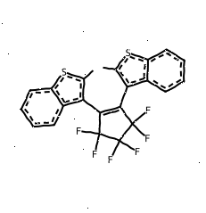 Cc1sc2ccccc2c1C1=C(c2c(C)sc3ccccc23)C(F)(F)C(F)(F)C1(F)F